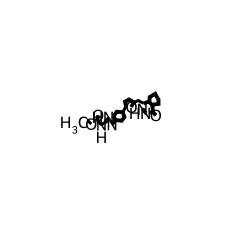 CCOC(=O)Nc1nc2ccc(-c3ccc(Cc4n[nH]c(=O)c5ccccc45)o3)cc2[nH]1